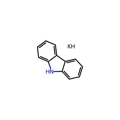 [KH].c1ccc2c(c1)[nH]c1ccccc12